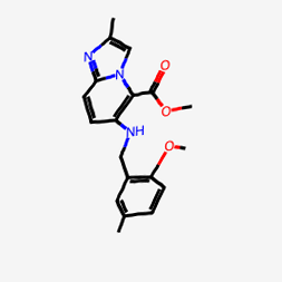 COC(=O)c1c(NCc2cc(C)ccc2OC)ccc2nc(C)cn12